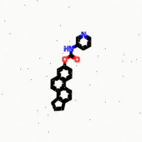 O=C(Nc1cccnc1)Oc1ccc2c(ccc3c4c(ccc32)C=CC4)c1